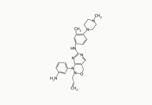 C=CCN1OCc2cnc(Nc3ccc(N4CCN(C)CC4)c(C)c3)nc2N1c1cccc(N)c1